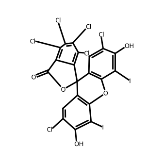 O=C1OC2(c3cc(Cl)c(O)c(I)c3Oc3c2cc(Cl)c(O)c3I)c2c(Cl)c(Cl)c(Cl)c(Cl)c21